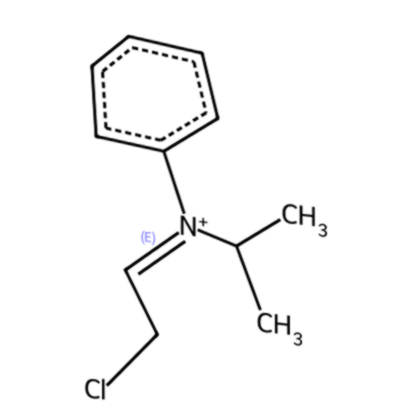 CC(C)/[N+](=C\CCl)c1ccccc1